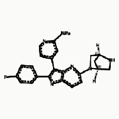 CNc1cc(-c2c(-c3ccc(F)cc3)nc3ccc(N4C[C@@H]5C[C@H]4CN5)nn23)ccn1